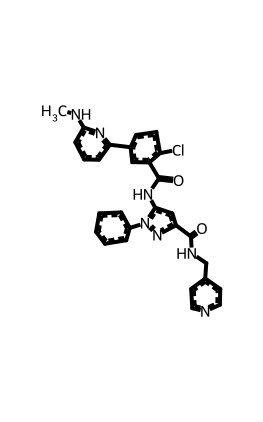 CNc1cccc(-c2ccc(Cl)c(C(=O)Nc3cc(C(=O)NCc4ccncc4)nn3-c3ccccc3)c2)n1